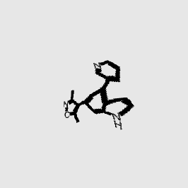 Cc1noc(C)c1-c1cc(-c2cccnc2)c2cc[nH]c2c1